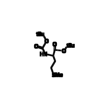 CSCCC(NC(=O)OC(C)(C)C)C(=O)OC(C)(C)C